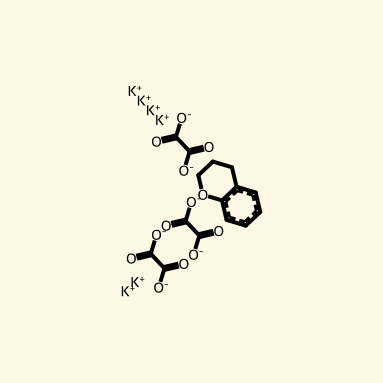 O=C([O-])C(=O)[O-].O=C([O-])C(=O)[O-].O=C([O-])C(=O)[O-].[K+].[K+].[K+].[K+].[K+].[K+].c1ccc2c(c1)CCCO2